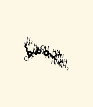 CC(=N)NC[C@@H](CCNC(=N)N)NCc1ccc(N2C=c3cc(-c4cc(CCC[C@H](C)N)cc(Cl)c4F)[nH]c3=NC2O)cc1